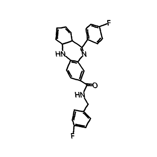 O=C(NCc1ccc(F)cc1)c1ccc2c(c1)N=C(c1ccc(F)cc1)C1C=CC=CC1N2